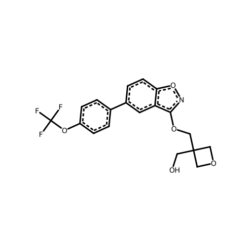 OCC1(COc2noc3ccc(-c4ccc(OC(F)(F)F)cc4)cc23)COC1